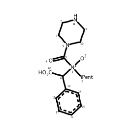 CCCC(C)[N+]([O-])(C(=O)N1CCNCC1)C(C(=O)O)c1ccccc1